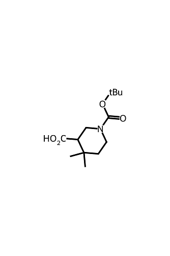 CC(C)(C)OC(=O)N1CCC(C)(C)C(C(=O)O)C1